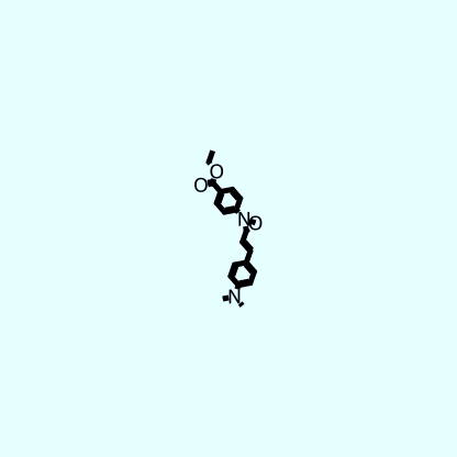 CCOC(=O)c1ccc(N2OC2/C=C/c2ccc(N(C)C)cc2)cc1